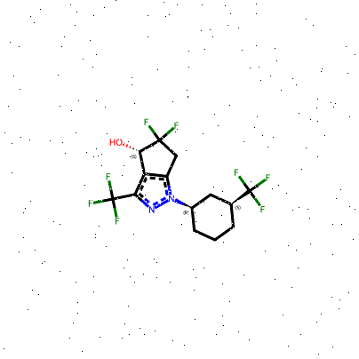 O[C@H]1c2c(C(F)(F)F)nn([C@@H]3CCC[C@H](C(F)(F)F)C3)c2CC1(F)F